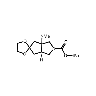 CNC12CN(C(=O)OC(C)(C)C)C[C@H]1CC1(C2)OCCO1